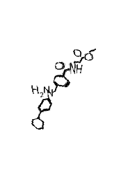 CCOC(=O)CCNC(=O)c1ccc(CN(N)c2ccc(C3CCCCC3)cc2)cc1